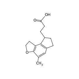 Cc1cc2c(c3c1OCC3)C(CCC(=O)O)CC2